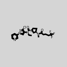 CCN(C(=O)[C@H]1CC[C@@H](N(C)C(=O)CCCC(F)(F)F)C1)c1cn(-c2cccnc2)nc1Cl